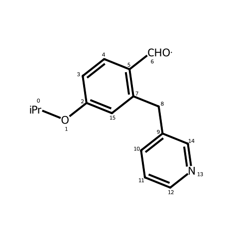 CC(C)Oc1ccc([C]=O)c(Cc2cccnc2)c1